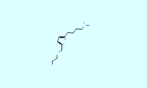 CN(C)CCCCc1ccc(CSCCN)o1